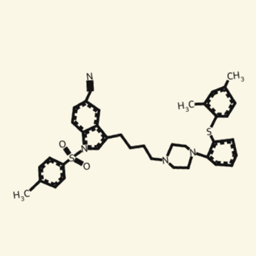 Cc1ccc(S(=O)(=O)n2cc(CCCCN3CCN(c4ccccc4Sc4ccc(C)cc4C)CC3)c3cc(C#N)ccc32)cc1